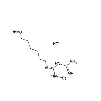 CCN/C(=N/CCCCCCOC)NC(=N)N.Cl